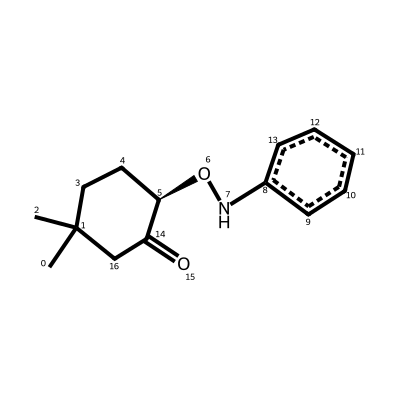 CC1(C)CC[C@@H](ONc2ccccc2)C(=O)C1